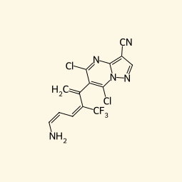 C=C(/C(=C\C=C/N)C(F)(F)F)c1c(Cl)nc2c(C#N)cnn2c1Cl